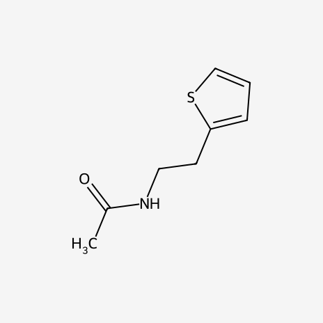 CC(=O)NCCc1cccs1